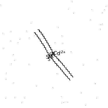 CCCCCCCCCCCCCCCCCCCCCCN(CCCCCCCCCCCCCCCCCCCCCC)C(=S)[S-].CCCCCCCCCCCCCCCCCCCCCCN(CCCCCCCCCCCCCCCCCCCCCC)C(=S)[S-].[Cd+2]